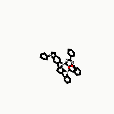 c1ccc(-c2nc(-c3ccccc3)nc(-n3c4cc5ccn(-c6ccccc6)c5cc4c4ccc5c6ccccc6n(-c6ccccc6)c5c43)n2)cc1